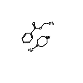 CCOC(=O)c1ccccc1.CN1CCNCC1